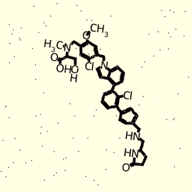 COc1cc(Cn2ccc3c(-c4cccc(-c5ccc(CNCC6CCC(=O)N6)cc5)c4Cl)cccc32)c(Cl)cc1CN(C)C(CO)C(=O)O